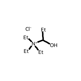 CCC(O)[N+](CC)(CC)CC.[Cl-]